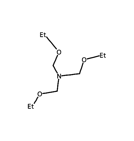 CCOCN(COCC)COCC